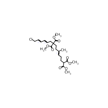 COC(=O)C(CC/C=C(\C)CCC(C/C=C/C=C/CCl)(C(=O)OC)C(=O)OC)C(=O)OC